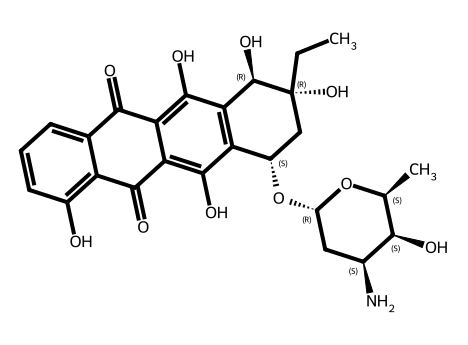 CC[C@@]1(O)C[C@H](O[C@H]2C[C@H](N)[C@H](O)[C@H](C)O2)c2c(O)c3c(c(O)c2[C@H]1O)C(=O)c1cccc(O)c1C3=O